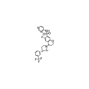 C[C@@H]1C[C@H](c2cccc(C(F)(F)F)c2)CCN1[C@H]1CCOc2cc(S(=O)(=O)Nc3ccncn3)c(F)cc21